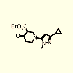 CCOC(=O)C1CN(c2cc(C3CC3)nn2C)CCC1=O